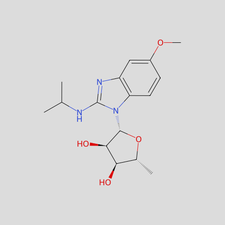 COc1ccc2c(c1)nc(NC(C)C)n2[C@@H]1O[C@H](C)[C@@H](O)[C@H]1O